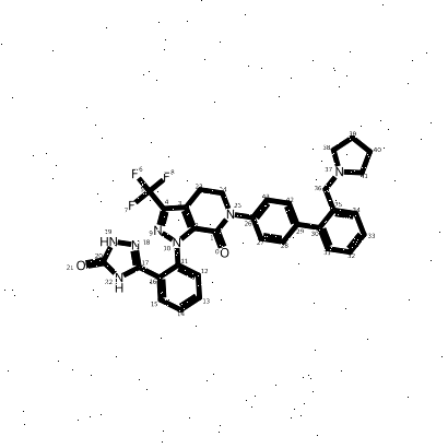 O=C1c2c(c(C(F)(F)F)nn2-c2ccccc2-c2n[nH]c(=O)[nH]2)CCN1c1ccc(-c2ccccc2CN2CCCC2)cc1